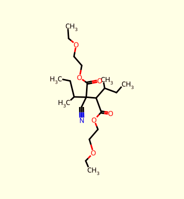 CCOCCOC(=O)C(C(C)CC)C(C#N)(C(=O)OCCOCC)C(C)CC